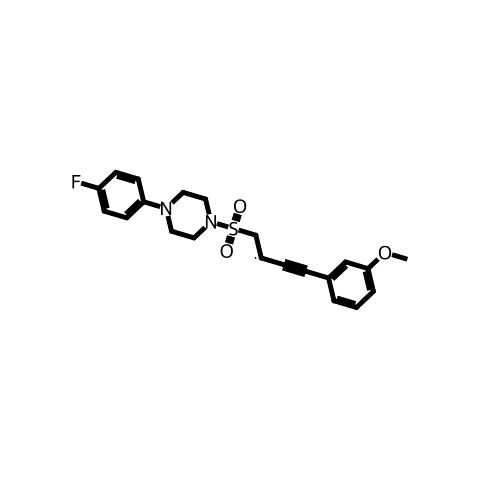 COc1cccc(C#C[CH]CS(=O)(=O)N2CCN(c3ccc(F)cc3)CC2)c1